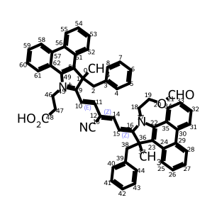 CC1(Cc2ccccc2)C(/C=C/C(C#N)=C/C=C2\N(CCOC=O)c3c(c4ccccc4c4ccccc34)C2(C)Cc2ccccc2)=[N+](CCC(=O)O)c2c1c1ccccc1c1ccccc21